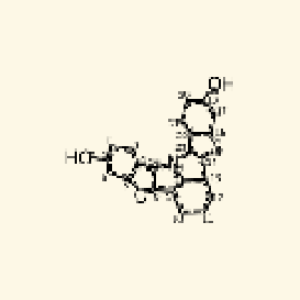 Oc1ccc2c(c1)oc1c3cccc4c5sc6cc(O)ccc6c5n(c34)c21